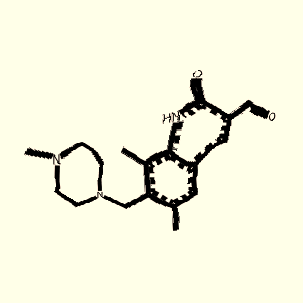 Cc1cc2cc(C=O)c(=O)[nH]c2c(C)c1CN1CCN(C)CC1